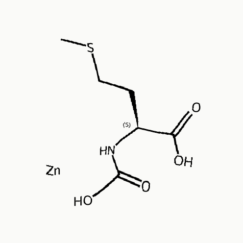 CSCC[C@H](NC(=O)O)C(=O)O.[Zn]